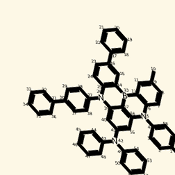 Cc1ccc(N2c3ccc(C)cc3B3c4cc(-c5ccccc5)ccc4N(c4ccc(-c5ccccc5)cc4)c4cc(N(c5ccccc5)c5ccccc5)cc2c43)cc1